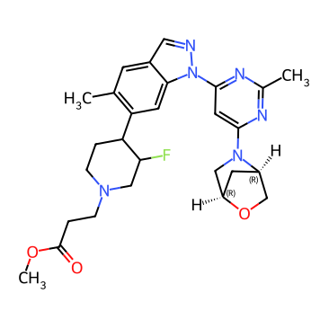 COC(=O)CCN1CCC(c2cc3c(cnn3-c3cc(N4C[C@H]5C[C@@H]4CO5)nc(C)n3)cc2C)C(F)C1